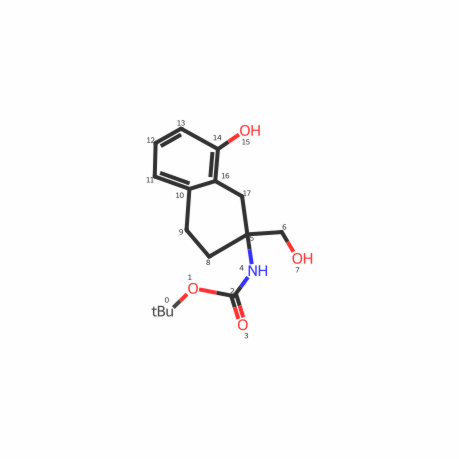 CC(C)(C)OC(=O)NC1(CO)CCc2cccc(O)c2C1